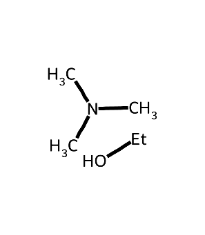 CCO.CN(C)C